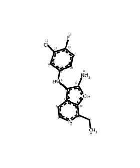 CCc1nccc2c(Nc3ccc(F)c(Cl)c3)c(N)oc12